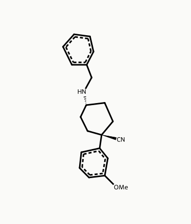 COc1cccc([C@]2(C#N)CC[C@H](NCc3ccccc3)CC2)c1